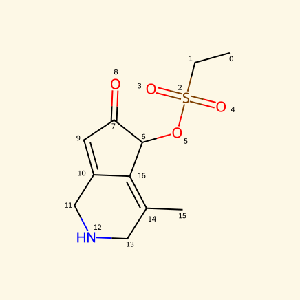 CCS(=O)(=O)OC1C(=O)C=C2CNCC(C)=C21